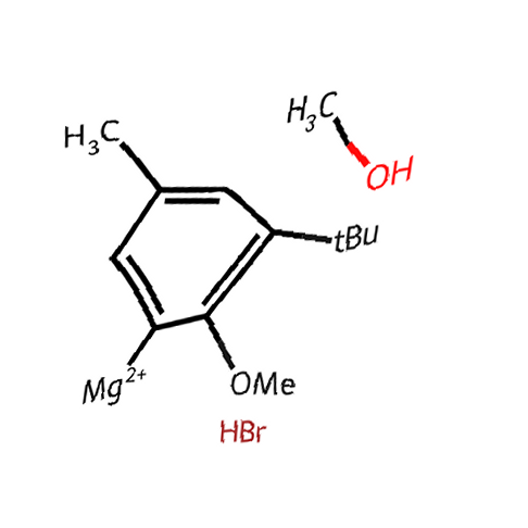 Br.CO.COc1[c]([Mg+2])cc(C)cc1C(C)(C)C